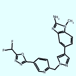 Cn1c(N)nc2cc(-c3cnn(Cc4ccc(-c5nnc(C(F)F)o5)cn4)c3)ccc21